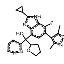 Cc1noc(C)c1-c1cc(C(O)(c2cccnn2)C2CCCO2)c2nc(C3CC3)[nH]c2c1F